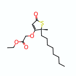 CCCCCCCC[C@@]1(C)SC(=O)C=C1OCC(=O)OCC